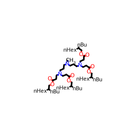 CCCCCCC(CCCC)COC(=O)CCN(CCCN(C)CCCN(CCC(=O)OCC(CCCC)CCCCCC)CCC(=O)OCC(CCCC)CCCCCC)CCC(=O)OCC(CCCC)CCCCCC